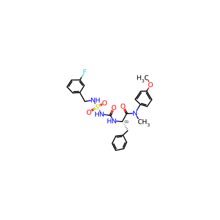 COc1ccc(N(C)C(=O)[C@H](Cc2ccccc2)NC(=O)NS(=O)(=O)NCc2cccc(F)c2)cc1